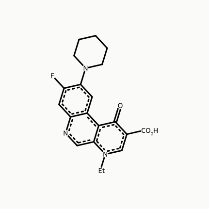 CCn1cc(C(=O)O)c(=O)c2c3cc(N4CCCCC4)c(F)cc3ncc21